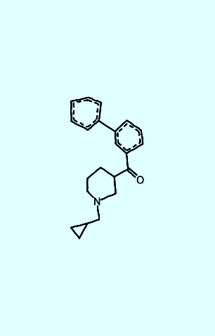 O=C(c1cccc(-c2ccccc2)c1)C1CCCN(CC2CC2)C1